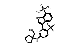 CP(C)(=O)c1cccc2c(-c3nc(NC4(CO)CCOC4)ncc3C(F)(F)F)c[nH]c12